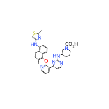 Cc1nc(Nc2cccc3c(Oc4ncccc4-c4ccnc(NC5CCCN(C(=O)O)C5)n4)c(C)ccc23)cs1